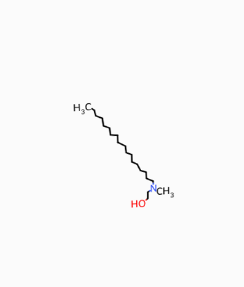 CCCCCCCCCCCCCCCCCCN(C)CCO